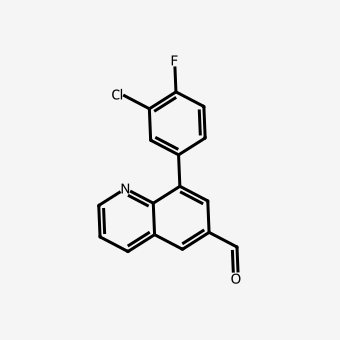 O=Cc1cc(-c2ccc(F)c(Cl)c2)c2ncccc2c1